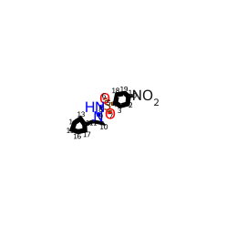 O=[N+]([O-])c1ccc(S(=O)(=O)NN2CC2c2ccccc2)cc1